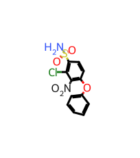 NS(=O)(=O)c1ccc(Oc2ccccc2)c([N+](=O)[O-])c1Cl